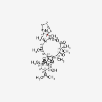 CCN1C2CCC1CC([C@@H]1COC(=O)C(C)(C)C(=O)[C@H](C)[C@@H](O[C@@H]3O[C@H](C)C[C@H](N(C)C)[C@H]3O)[C@](C)(OC)C[C@@H](C)CN1C)C2